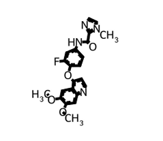 COc1cc2nccc(Oc3ccc(NC(=O)c4nccn4C)cc3F)c2cc1OC